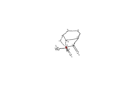 O=C1NCC2CCC1N2C(=O)O